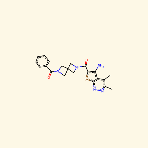 Cc1nnc2sc(C(=O)N3CC4(CN(C(=O)c5ccccc5)C4)C3)c(N)c2c1C